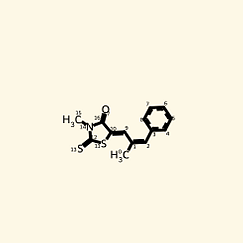 CC(=Cc1ccccc1)C=C1SC(=S)N(C)C1=O